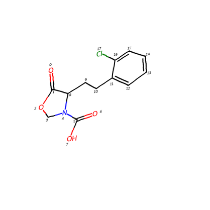 O=C1OCN(C(=O)O)C1CCc1ccccc1Cl